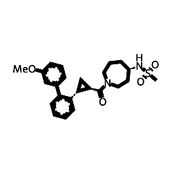 COc1cccc(-c2ccccc2[C@@H]2C[C@H]2C(=O)N2CCC[C@H](NS(C)(=O)=O)CC2)c1